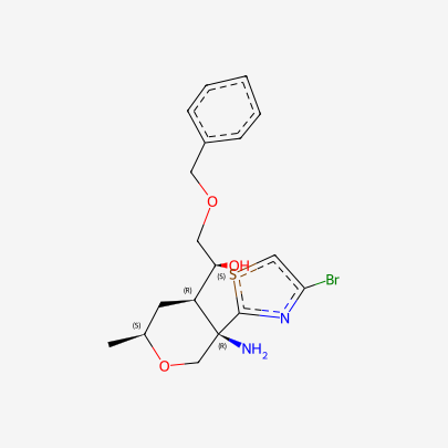 C[C@H]1C[C@@H]([C@H](O)COCc2ccccc2)[C@](N)(c2nc(Br)cs2)CO1